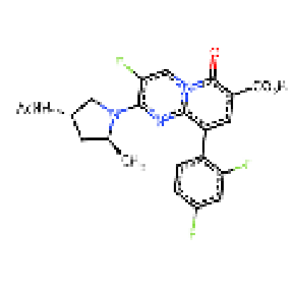 CC(=O)N[C@H]1C[C@H](C)N(c2nc3c(-c4ccc(F)cc4F)cc(C(=O)O)c(=O)n3cc2F)C1